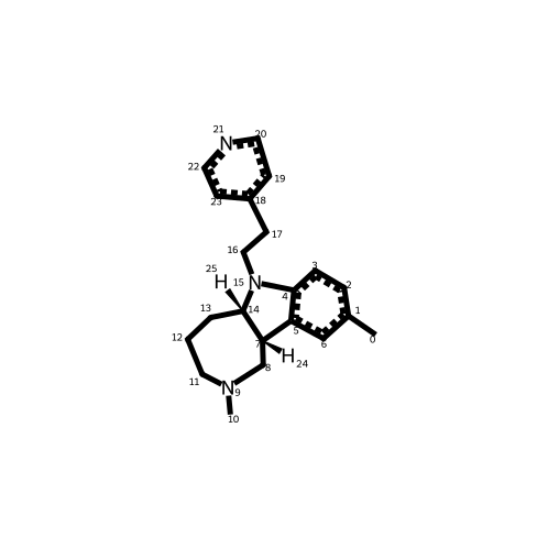 Cc1ccc2c(c1)[C@@H]1CN(C)CCC[C@@H]1N2CCc1ccncc1